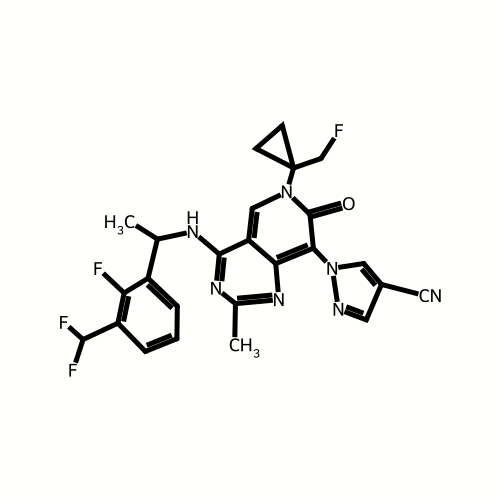 Cc1nc(NC(C)c2cccc(C(F)F)c2F)c2cn(C3(CF)CC3)c(=O)c(-n3cc(C#N)cn3)c2n1